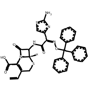 C=CC1=C(C(=O)O)N2C(=O)C(NC(=O)/C(=N\OC(c3ccccc3)(c3ccccc3)c3ccccc3)c3csc(N)n3)[C@@H]2SC1